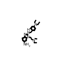 CCN(CC)CCn1c(NCc2ccc(N(CC)CC)cc2)nc2ccc(N)cc21